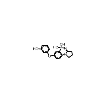 Oc1cccc(Oc2ccc3c(c2)S(O)(O)N=C2CCCN23)c1